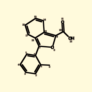 Cc1ccccc1-c1oc(C(=O)O)c2ccccc12